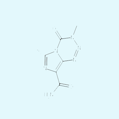 Cn1nnc2c(C(N)=O)ncn2c1=O.[Pt]